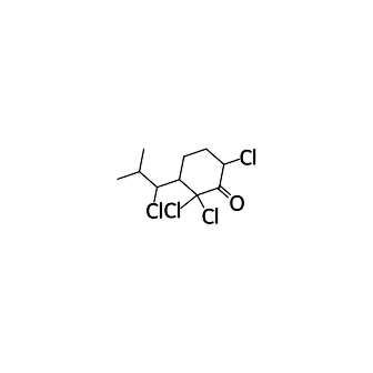 CC(C)C(Cl)C1CCC(Cl)C(=O)C1(Cl)Cl